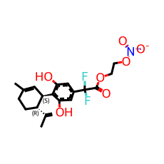 C=C(C)[C@@H]1CCC(C)=C[C@H]1c1c(O)cc(C(F)(F)C(=O)OCCO[N+](=O)[O-])cc1O